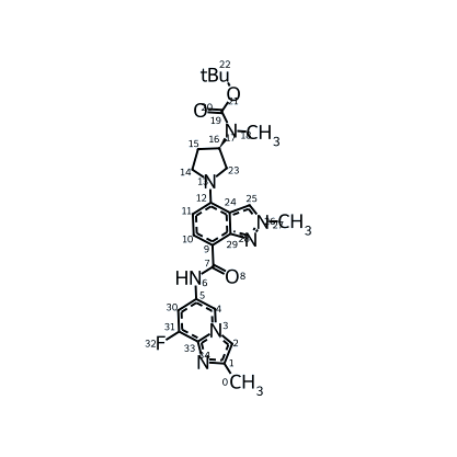 Cc1cn2cc(NC(=O)c3ccc(N4CC[C@@H](N(C)C(=O)OC(C)(C)C)C4)c4cn(C)nc34)cc(F)c2n1